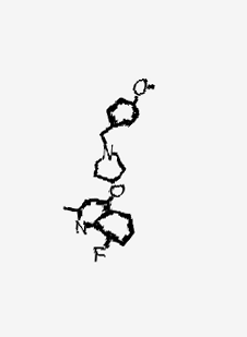 COc1ccc(CN2CCC(Oc3cc(C)nc4c(F)cccc34)CC2)cc1